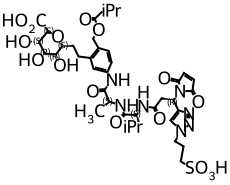 CC(C)C(=O)OCc1ccc(NC(=O)[C@H](C)NC(=O)[C@@H](NC(=O)C[C@H](c2cn(CCCS(=O)(=O)O)nn2)N2C(=O)C=CC2=O)C(C)C)cc1CC[C@@H]1O[C@H](C(=O)O)[C@@H](O)[C@H](O)[C@H]1O